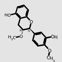 COc1ccc([C@@H]2Oc3cccc(O)c3C[C@H]2OC)cc1O